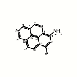 Cc1cc(N)c2ccc3cccc4ccc1c2c43